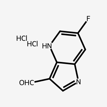 Cl.Cl.O=Cc1cnc2cc(F)c[nH]c1-2